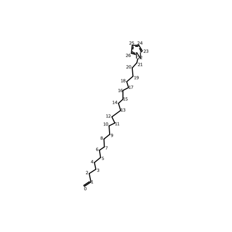 C=CCCCCCCCCCCCCCCCCCCCCn1cccc1